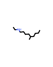 CCCCC(C)CCCCNCC